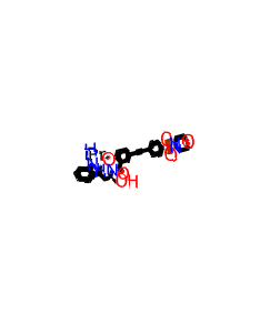 CC(C)Oc1ccc(C#Cc2ccc(S(=O)(=O)N3CCOCC3)cc2)cc1C(=O)N[C@@H](CO)Cc1c[nH]c2ccccc12